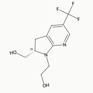 OCCN1c2ncc(C(F)(F)F)cc2C[C@H]1CO